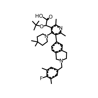 Cc1cc(CN2CCc3cc(-c4c(C)nc(C)c(C(OC(C)(C)C)C(=O)O)c4N4CCC(C)(C)CC4)ccc3C2)cc(C)c1F